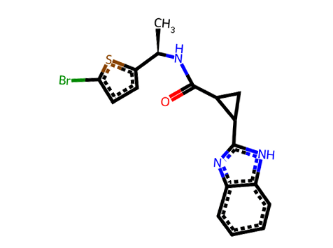 C[C@@H](NC(=O)C1CC1c1nc2ccccc2[nH]1)c1ccc(Br)s1